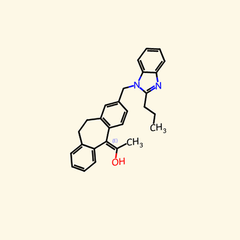 CCCc1nc2ccccc2n1Cc1ccc2c(c1)CCc1ccccc1/C2=C(/C)O